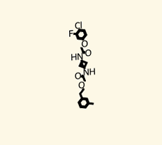 Cc1cccc(CCOCC(=O)NC23CC(NC(=O)COc4ccc(Cl)c(F)c4)(C2)C3)c1